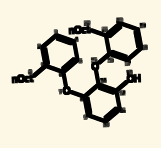 CCCCCCCCc1ccccc1Oc1cccc(O)c1Oc1ccccc1CCCCCCCC